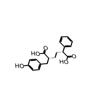 O=C(O)[C@H](CC[C@@H](C(=O)O)c1ccccc1)Cc1ccc(O)cc1